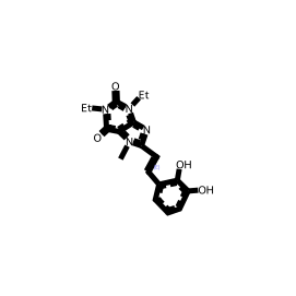 CCn1c(=O)c2c(nc(/C=C/c3cccc(O)c3O)n2C)n(CC)c1=O